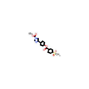 CC(C)(C)OC(=O)n1cnc(-c2ccc(OC(=O)c3ccc(S(C)(=O)=O)cc3)cc2)c1